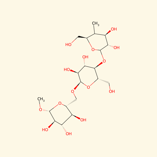 CO[C@@H]1O[C@H](CO[C@@H]2O[C@@H](CO)[C@H](OC3O[C@@H](CO)C(C)[C@@H](O)[C@@H]3O)[C@@H](O)[C@@H]2O)[C@@H](O)[C@H](O)[C@H]1O